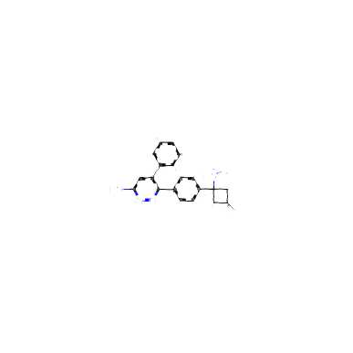 Nc1cc(-c2ccccc2)c(-c2ccc(C3(NC(=O)O)CC(F)C3)cc2)nn1